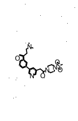 CN(C)CCc1coc2ccc(-c3cncc(CC(=O)N4CCN(S(C)(=O)=O)CC4)c3)cc12